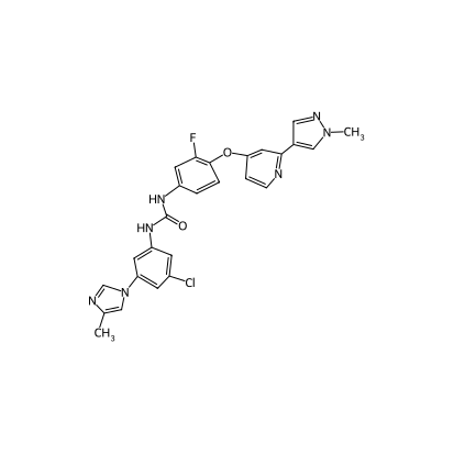 Cc1cn(-c2cc(Cl)cc(NC(=O)Nc3ccc(Oc4ccnc(-c5cnn(C)c5)c4)c(F)c3)c2)cn1